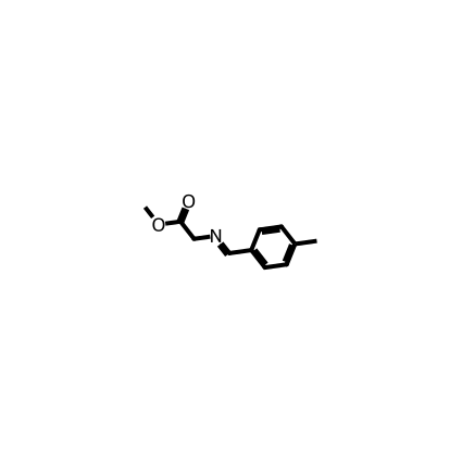 COC(=O)C/N=C/c1ccc(C)cc1